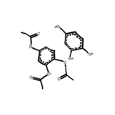 CC(=O)Oc1ccc(OC(C)=O)c(OC(C)=O)c1.Oc1ccc(O)c(O)c1